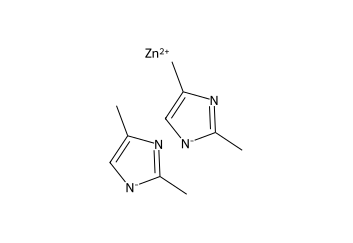 Cc1c[n-]c(C)n1.Cc1c[n-]c(C)n1.[Zn+2]